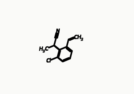 C=Cc1cccc(Cl)c1C(C)C#N